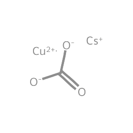 O=C([O-])[O-].[Cs+].[Cu+2]